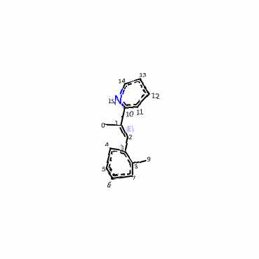 C/C(=C\c1ccccc1C)c1ccccn1